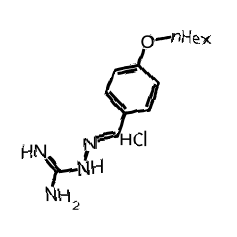 CCCCCCOc1ccc(/C=N/NC(=N)N)cc1.Cl